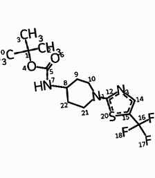 CC(C)(C)OC(=O)NC1CCN(c2ncc(C(F)(F)F)s2)CC1